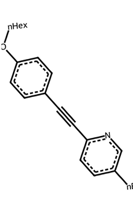 CCCCCCOc1ccc(C#Cc2ccc(CCCC)cn2)cc1